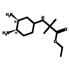 CCOC(=O)C(C)(C)NC1CC[C@H](N)[C@H](N)C1